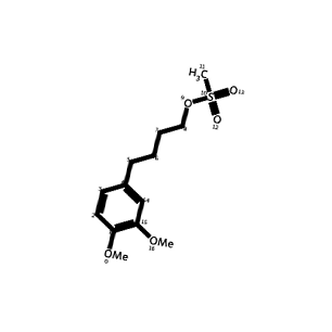 COc1ccc(CCCCOS(C)(=O)=O)cc1OC